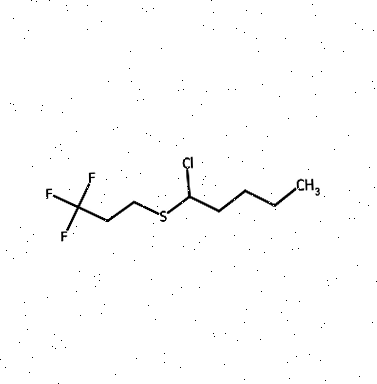 CCCCC(Cl)SCCC(F)(F)F